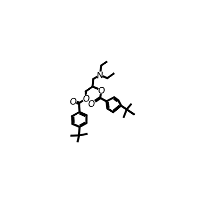 CCN(CC)CC(COC(=O)c1ccc(C(C)(C)C)cc1)OC(=O)c1ccc(C(C)(C)C)cc1